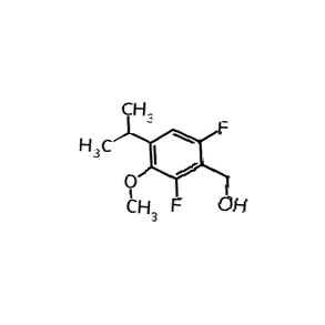 COc1c(C(C)C)cc(F)c(CO)c1F